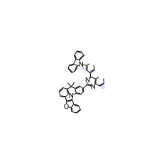 C/C=C\c1nc(-c2ccc3c(c2)C(C)(C)c2cccc4c5oc6ccccc6c5n-3c24)nc(C(=C/C)/C=C(\C)n2c3ccccc3c3ccccc32)c1C